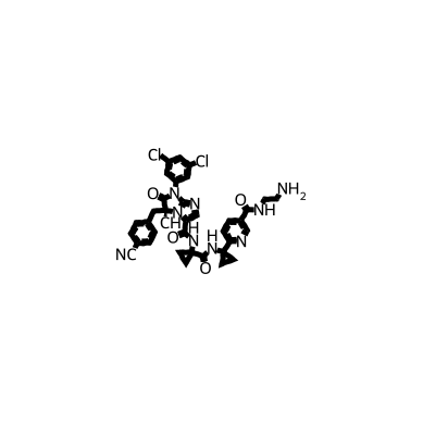 C[C@@]1(Cc2ccc(C#N)cc2)C(=O)N(c2cc(Cl)cc(Cl)c2)c2ncc(C(=O)NC3(C(=O)NC4(c5ccc(C(=O)NCCN)cn5)CC4)CC3)n21